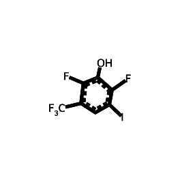 Oc1c(F)c(I)cc(C(F)(F)F)c1F